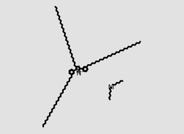 CCCCCCCCCCCCCCCCCCCCCCCCCCCCCC1=C(c2cccc(CCCCCCCCCCCCCCCCCCCCCCCCCCC)c2)[N+](=[N-])C(c2cccc(CCCCCCCCCCCCCCCCCCCCCCCCCCC)c2)=C1.CCCCC[CH2][Ni][CH2]CCCCC